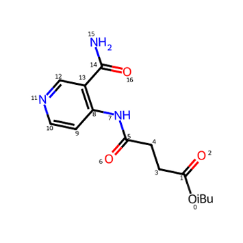 CC(C)COC(=O)CCC(=O)Nc1ccncc1C(N)=O